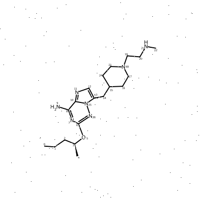 CCC[C@H](C)Oc1nc(N)c2ncc(CC3CCN(CCNC)CC3)n2n1